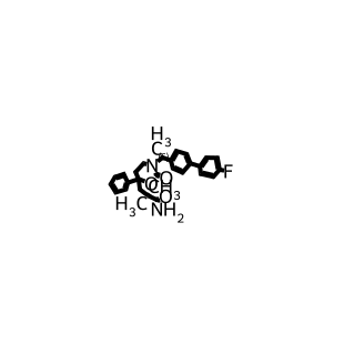 C[C@@H](c1ccc(-c2ccc(F)cc2)cc1)N1CCC(CC(C)(C)C(N)=O)(c2ccccc2)OC1=O